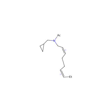 CC/C=C\CC/C=C\CN(CC1CC1)C(C)=O